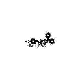 CCC(N)(C(=O)C=Cc1ccc(O)c(O)c1)N1CCN(C(c2ccccc2)c2ccccc2)CC1